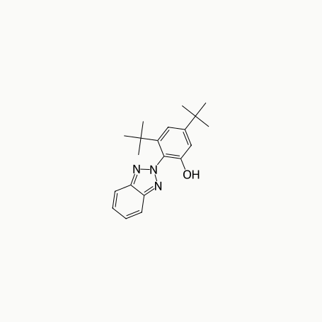 CC(C)(C)c1cc(O)c(-n2nc3ccccc3n2)c(C(C)(C)C)c1